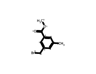 COC(=O)c1cc(C)cc(CBr)c1